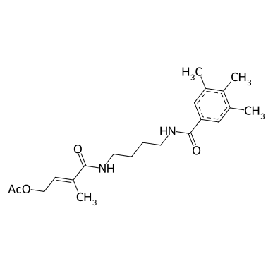 CC(=O)OC/C=C(\C)C(=O)NCCCCNC(=O)c1cc(C)c(C)c(C)c1